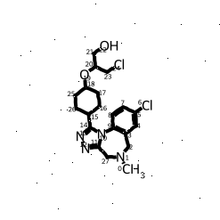 CN1Cc2cc(Cl)ccc2-n2c(nnc2C2CCC(OC(CO)CCl)CC2)C1